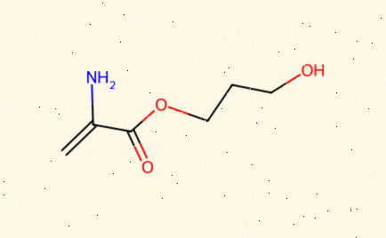 C=C(N)C(=O)OCCCO